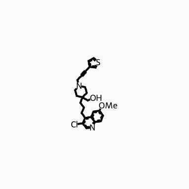 COc1ccc2ncc(Cl)c(CCCC3(CO)CCN(CC#Cc4ccsc4)CC3)c2c1